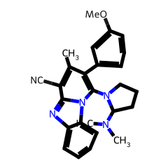 COc1cccc(-c2c(C)c(C#N)c3nc4ccccc4n3c2N2CCCC2N(C)C)c1